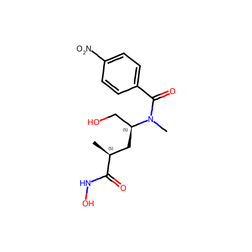 C[C@@H](C[C@@H](CO)N(C)C(=O)c1ccc([N+](=O)[O-])cc1)C(=O)NO